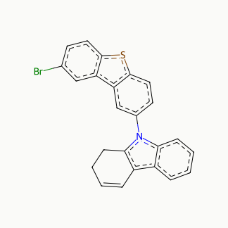 Brc1ccc2sc3ccc(-n4c5c(c6ccccc64)C=CCC5)cc3c2c1